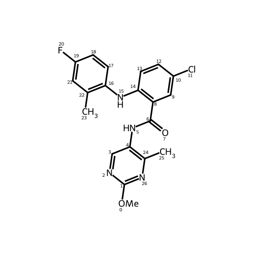 COc1ncc(NC(=O)c2cc(Cl)ccc2Nc2ccc(F)cc2C)c(C)n1